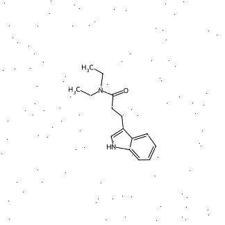 CCN(CC)C(=O)CCc1c[nH]c2ccccc12